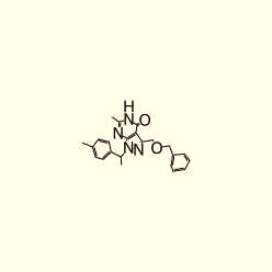 Cc1ccc(C(C)n2nc(COCc3ccccc3)c3c(=O)[nH]c(C)nc32)cc1